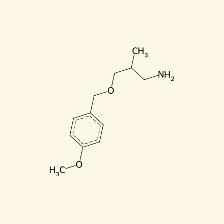 COc1ccc(COCC(C)CN)cc1